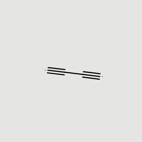 [C]#CC#[C]